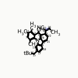 C=c1c2c(C)c(C)cc(C)c2n2c3cc(CC(C)(C)C)ccc3c3ccc(/C(C#N)=C\C)c1c32